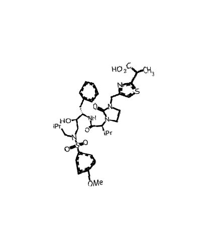 COc1ccc(S(=O)(=O)N(CC(C)C)C[C@@H](O)[C@H](Cc2ccccc2)NC(=O)[C@H](C(C)C)N2CCN(Cc3csc(C(C)C(=O)O)n3)C2=O)cc1